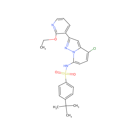 CCOc1ncccc1-c1cc2c(Cl)ccc(NS(=O)(=O)c3ccc(C(C)(C)C)cc3)n2n1